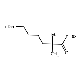 CCCCCCCCCCCCCCC(C)(CC)C(=O)CCCCCC